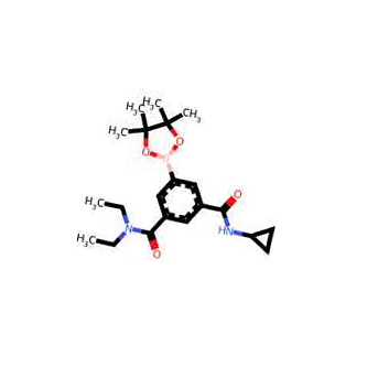 CCN(CC)C(=O)c1cc(B2OC(C)(C)C(C)(C)O2)cc(C(=O)NC2CC2)c1